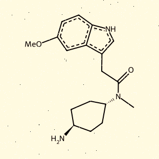 COc1ccc2[nH]cc(CC(=O)N(C)[C@H]3CC[C@H](N)CC3)c2c1